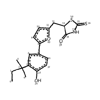 CCC(C)(C)c1cc(-c2ccc(CC3SC(=S)NC3=O)o2)ccc1O